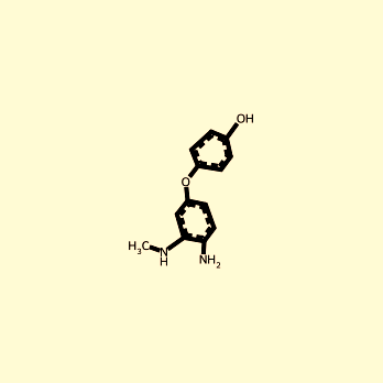 CNc1cc(Oc2ccc(O)cc2)ccc1N